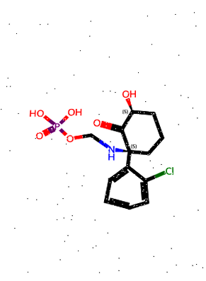 O=C1[C@@H](O)CCC[C@]1(NCOP(=O)(O)O)c1ccccc1Cl